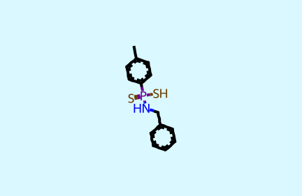 Cc1ccc(P(=S)(S)NCc2ccccc2)cc1